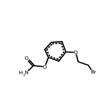 NC(=O)Oc1cccc(OCCBr)c1